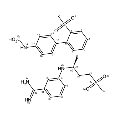 CS(=O)(=O)c1ccccc1-c1ccc(NC(=O)O)cc1.C[C@@H](CCS(C)(=O)=O)Nc1cccc(C(=N)N)c1